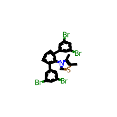 CC1=C(C)N(c2c(-c3cc(Br)cc(Br)c3)cccc2-c2cc(Br)cc(Br)c2)[C]S1